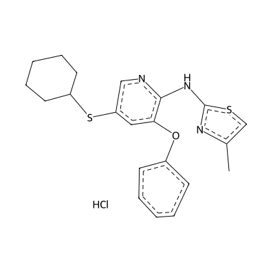 Cc1csc(Nc2ncc(SC3CCCCC3)cc2Oc2ccccc2)n1.Cl